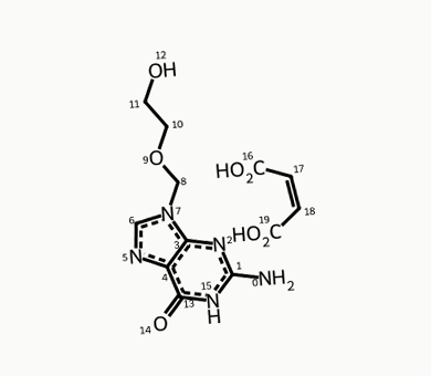 Nc1nc2c(ncn2COCCO)c(=O)[nH]1.O=C(O)/C=C\C(=O)O